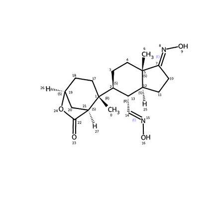 C[C@]1([C@H]2CC[C@]3(C)/C(=N/O)CC[C@H]3[C@@H]2/C=N/O)CC[C@H]2C[C@@H]1C(=O)O2